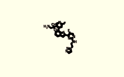 CC(C)(CN)c1cnc(F)cc1-c1cccc2cc(-c3nc(NCCn4ccnn4)ncc3F)sc12